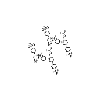 CCS(=O)(=O)c1ccc([C@H](CC#N)NC(=O)c2ccc(N3C[C@@H](c4ccc(C(F)(F)F)cc4)CC[C@H]3COC(F)F)cc2F)cc1.CCS(=O)(=O)c1ccc([C@H](CC#N)NC(=O)c2ccc(N3C[C@H](c4ccc(C(F)(F)F)cc4)CC[C@H]3COC(F)F)cc2F)cc1